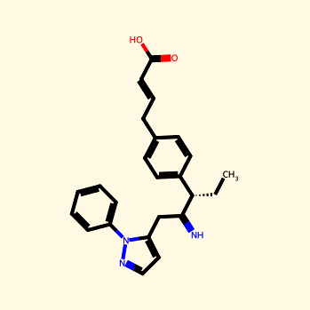 CC[C@H](C(=N)Cc1ccnn1-c1ccccc1)c1ccc(C/C=C/C(=O)O)cc1